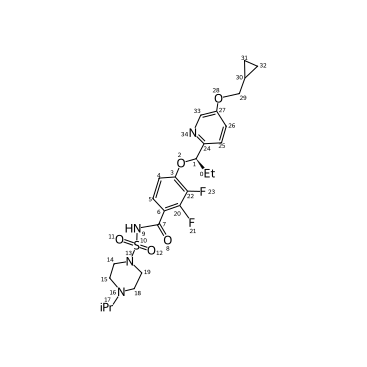 CC[C@@H](Oc1ccc(C(=O)NS(=O)(=O)N2CCN(C(C)C)CC2)c(F)c1F)c1ccc(OCC2CC2)cn1